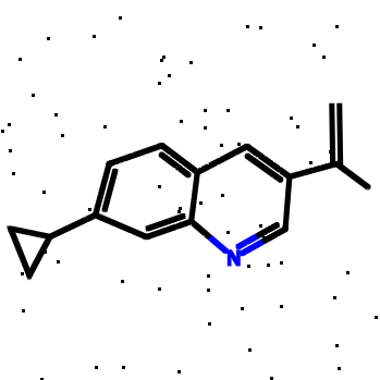 C=C(C)c1cnc2cc(C3CC3)ccc2c1